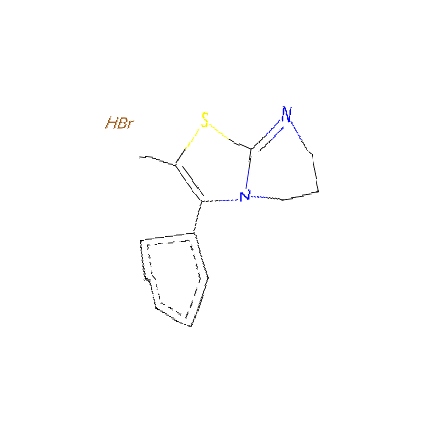 Br.CC1=C(c2ccccc2)N2CCCN=C2S1